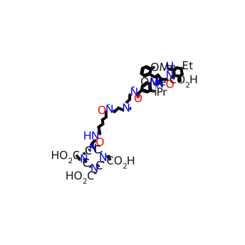 C=C1CC(CC)CC(C)C1(NC(=O)c1cc(-c2c(OC)cccc2OC)n(-c2ccc(C(=O)N(C)CCCN(C)CCCN(C)C(=O)CCCCCNC(=O)CN3CCN(CC(=O)O)CCN(CC(=O)O)CCN(CC(=O)O)CC3)cc2C(C)C)n1)C(=O)O